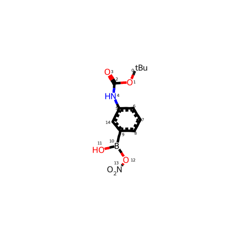 CC(C)(C)OC(=O)Nc1cccc(B(O)O[N+](=O)[O-])c1